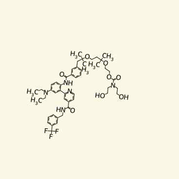 CCN(CC)c1ccc(NC(=O)c2cccc(CC(C)(C)OCCC(C)(C)OCCOC(=O)N(CCO)CCO)c2)c(-c2cc(C(=O)NCc3cccc(C(F)(F)F)c3)ccn2)c1